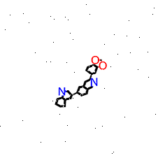 c1ccc2ncc(-c3ccc4cnc(-c5ccc6c(c5)OCO6)cc4c3)cc2c1